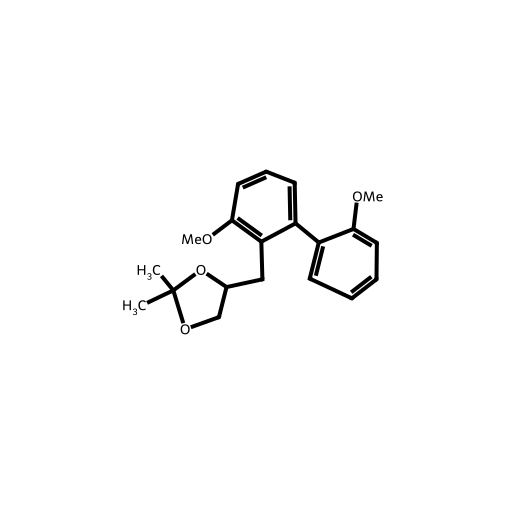 COc1ccccc1-c1cccc(OC)c1CC1COC(C)(C)O1